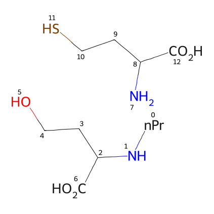 CCCNC(CCO)C(=O)O.NC(CCS)C(=O)O